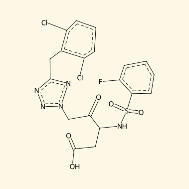 O=C(O)CC(NS(=O)(=O)c1ccccc1F)C(=O)Cn1nnc(Cc2c(Cl)cccc2Cl)n1